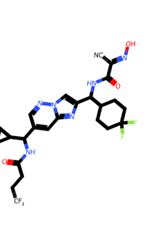 N#C/C(=N\O)C(=O)NC(c1cn2ncc(C(NC(=O)CCC(F)(F)F)C3CC3)cc2n1)C1CCC(F)(F)CC1